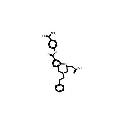 N=C(N)c1ccc(NC(=O)c2ccc3c(c2)NC(CC(=O)O)CN(CCc2ccccc2)C3)cc1